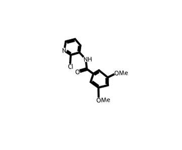 COc1cc(OC)cc(C(=O)Nc2cccnc2Cl)c1